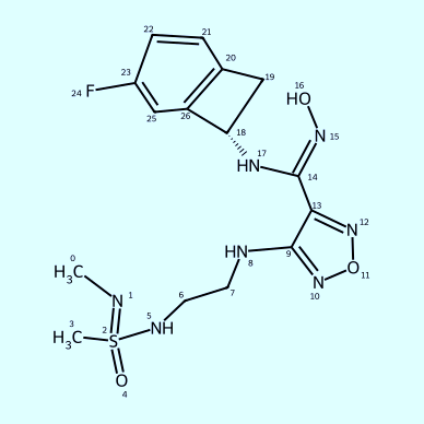 CN=S(C)(=O)NCCNc1nonc1/C(=N/O)N[C@H]1Cc2ccc(F)cc21